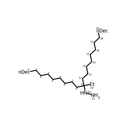 CCCCCCCCCCCCCCCCCCC(CC)(CCCCCCCCCCCCCCCCCC)NN